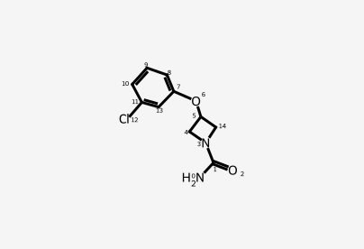 NC(=O)N1CC(Oc2cccc(Cl)c2)C1